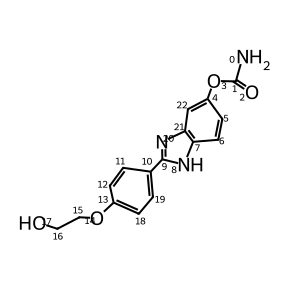 NC(=O)Oc1ccc2[nH]c(-c3ccc(OCCO)cc3)nc2c1